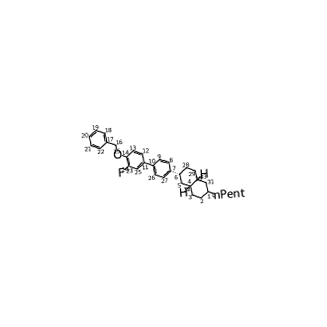 CCCCCC1CC[C@@H]2C[C@H](c3ccc(-c4ccc(OCc5ccccc5)c(F)c4)cc3)CC[C@@H]2C1